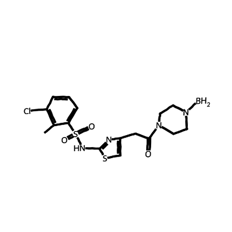 BN1CCN(C(=O)Cc2csc(NS(=O)(=O)c3cccc(Cl)c3C)n2)CC1